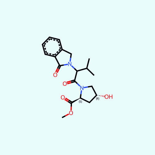 COC(=O)[C@@H]1C[C@@H](O)CN1C(=O)C(C(C)C)N1Cc2ccccc2C1=O